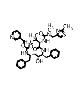 Cc1nc(CN(C)C(=O)N[C@H](C(=O)N[C@@H](Cc2ccccc2)[C@@H](O)C[C@H](Cc2ccccc2)NC(=O)OCc2cccnc2)C(C)C)cs1